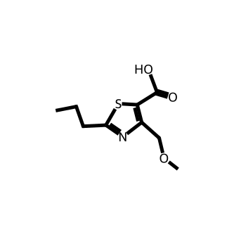 CCCc1nc(COC)c(C(=O)O)s1